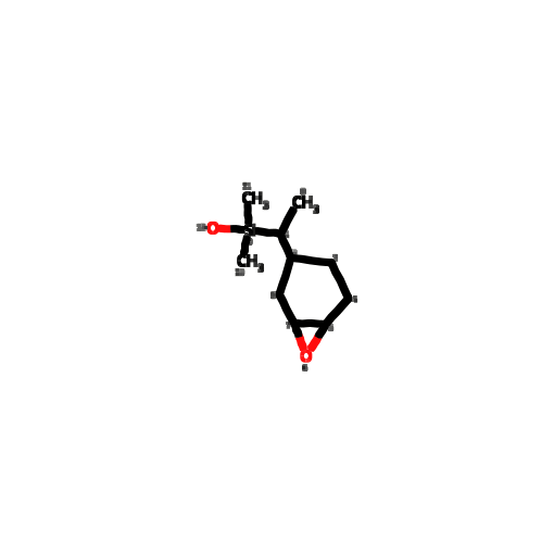 CC(C1CCC2OC2C1)[Si](C)(C)[O]